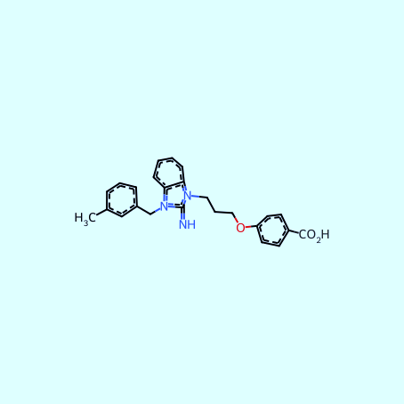 Cc1cccc(Cn2c(=N)n(CCCOc3ccc(C(=O)O)cc3)c3ccccc32)c1